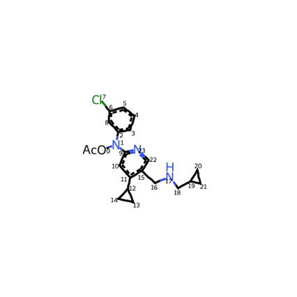 CC(=O)ON(c1cccc(Cl)c1)c1cc(C2CC2)c(CNCC2CC2)cn1